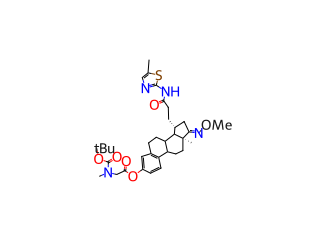 CO/N=C1\C[C@@H](CCC(=O)Nc2ncc(C)s2)C2C3CCc4cc(OC(=O)CN(C)C(=O)OC(C)(C)C)ccc4C3CC[C@]12C